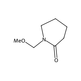 COCN1CCCCC1=O